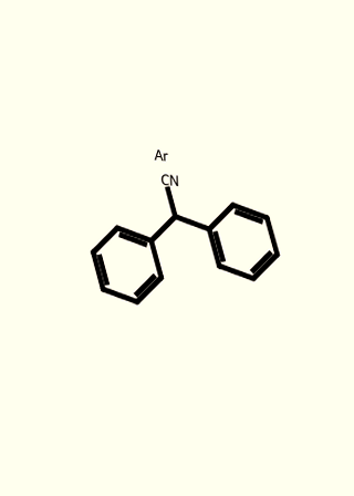 N#CC(c1ccccc1)c1ccccc1.[Ar]